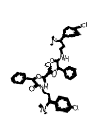 CN(C)C(CCNC(=O)C(OC(=O)C(=O)OC(C(=O)NCCC(c1ccc(Cl)cc1)N(C)C)c1ccccc1)c1ccccc1)c1ccc(Cl)cc1